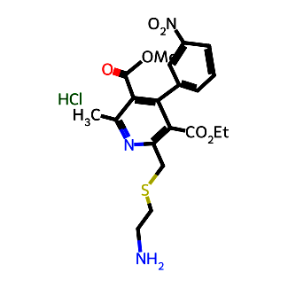 CCOC(=O)c1c(CSCCN)nc(C)c(C(=O)OC)c1-c1cccc([N+](=O)[O-])c1.Cl